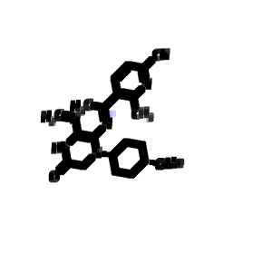 C=NC1=C(/N=C(\C)c2ccc(C#N)nc2C)N([C@H]2CC[C@@H](OC)CC2)CC(=O)N1